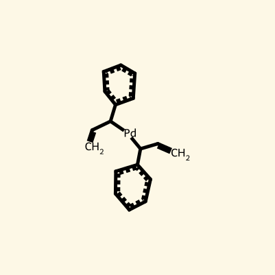 C=C[CH]([Pd][CH](C=C)c1ccccc1)c1ccccc1